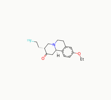 CCOc1ccc2c(c1)CCN1C[C@@H](CC[19F])C(=O)C[C@H]21